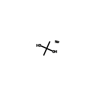 CC(C)(O)O.[Na]